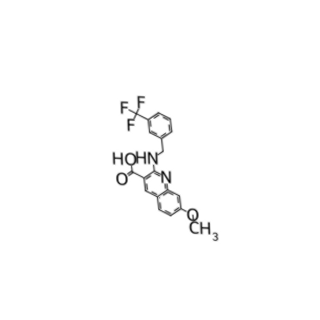 COc1ccc2cc(C(=O)O)c(NCc3cccc(C(F)(F)F)c3)nc2c1